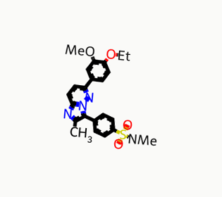 CCOc1ccc(-c2ccc3nc(C)c(-c4ccc(S(=O)(=O)NC)cc4)n3n2)cc1OC